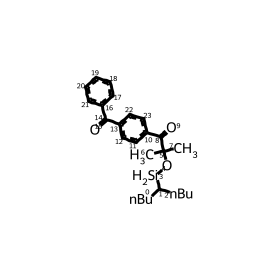 CCCCC(CCCC)[SiH2]OC(C)(C)C(=O)c1ccc(C(=O)c2ccccc2)cc1